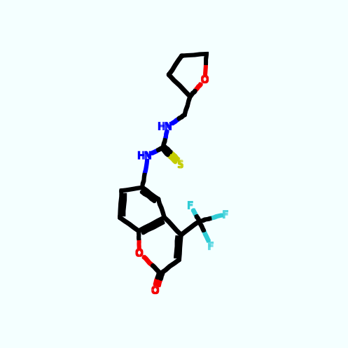 O=c1cc(C(F)(F)F)c2cc(NC(=S)NCC3CCCO3)ccc2o1